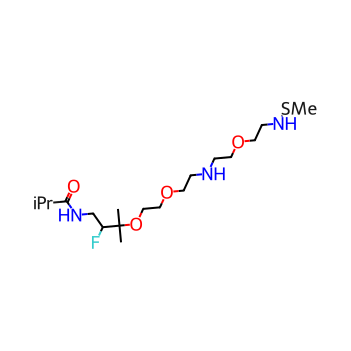 CSNCCOCCNCCOCCOC(C)(C)C(F)CNC(=O)C(C)C